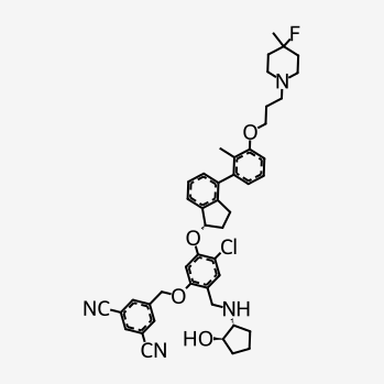 Cc1c(OCCCN2CCC(C)(F)CC2)cccc1-c1cccc2c1CC[C@@H]2Oc1cc(OCc2cc(C#N)cc(C#N)c2)c(CN[C@@H]2CCC[C@H]2O)cc1Cl